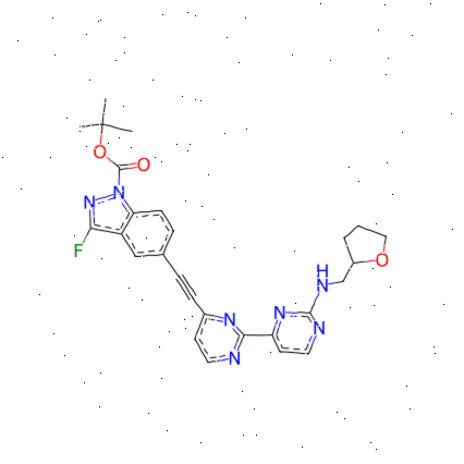 CC(C)(C)OC(=O)n1nc(F)c2cc(C#Cc3ccnc(-c4ccnc(NCC5CCCO5)n4)n3)ccc21